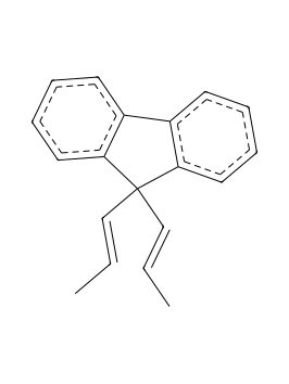 CC=CC1(C=CC)c2ccccc2-c2ccccc21